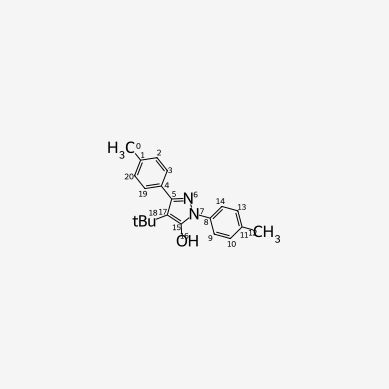 Cc1ccc(-c2nn(-c3ccc(C)cc3)c(O)c2C(C)(C)C)cc1